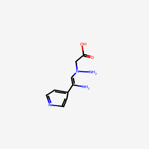 N/C(=C\N(N)CC(=O)O)c1ccncc1